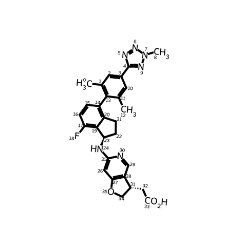 Cc1cc(-c2nnn(C)n2)cc(C)c1-c1ccc(F)c2c1CC[C@H]2Nc1cc2c(cn1)[C@H](CC(=O)O)CO2